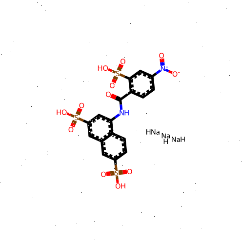 O=C(Nc1cc(S(=O)(=O)O)cc2cc(S(=O)(=O)O)ccc12)c1ccc([N+](=O)[O-])cc1S(=O)(=O)O.[NaH].[NaH].[NaH]